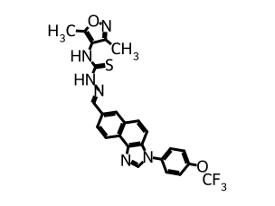 Cc1noc(C)c1NC(=S)NN=Cc1ccc2c(ccc3c2ncn3-c2ccc(OC(F)(F)F)cc2)c1